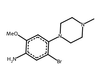 COc1cc(N2CCN(C)CC2)c(Br)cc1N